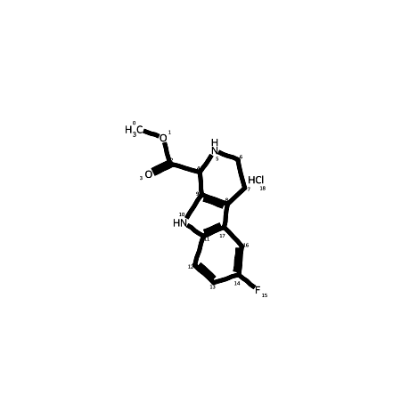 COC(=O)C1NCCc2c1[nH]c1ccc(F)cc21.Cl